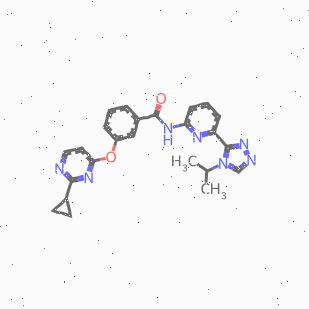 CC(C)n1cnnc1-c1cccc(NC(=O)c2cccc(Oc3ccnc(C4CC4)n3)c2)n1